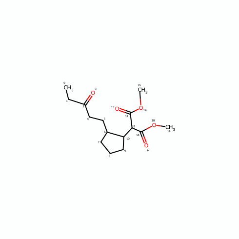 CCC(=O)CCC1CCCC1C(C(=O)OC)C(=O)OC